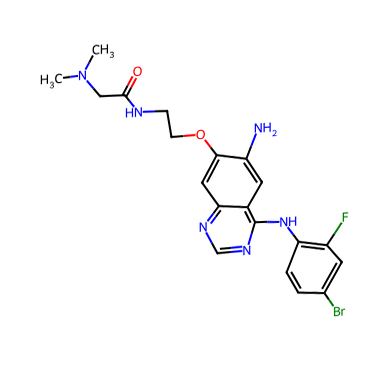 CN(C)CC(=O)NCCOc1cc2ncnc(Nc3ccc(Br)cc3F)c2cc1N